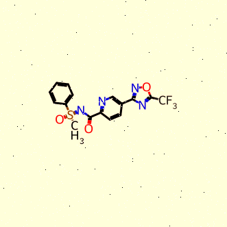 CS(=O)(=NC(=O)c1ccc(-c2noc(C(F)(F)F)n2)cn1)c1ccccc1